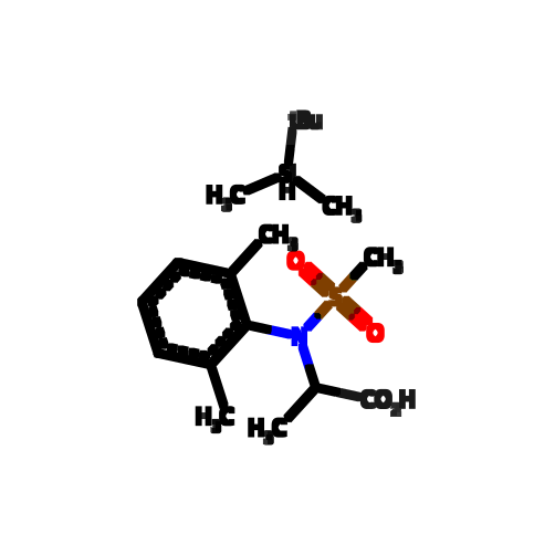 C[SiH](C)C(C)(C)C.Cc1cccc(C)c1N(C(C)C(=O)O)S(C)(=O)=O